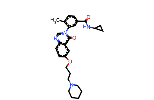 Cc1ccc(C(=O)NC2CC2)cc1-n1cnc2ccc(OCCCN3CCCCC3)cc2c1=O